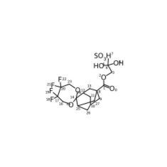 O=C(OCC(O)(O)S(=O)(=O)O)C12CC3CC(C1)C1(OCC(F)(F)C(F)(F)CO1)C(C3)C2